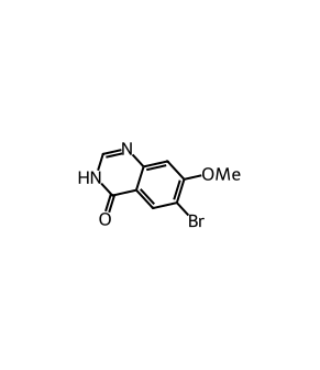 COc1cc2nc[nH]c(=O)c2cc1Br